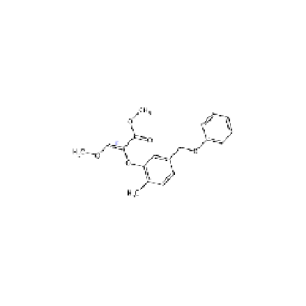 CO/C=C(\Oc1cc(COc2ccccc2)ccc1C)C(=O)OC